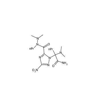 CCCN(C(=O)c1nc([N+](=O)[O-])nn1C(CCC)(C(N)=O)N(C)C)N(C)C